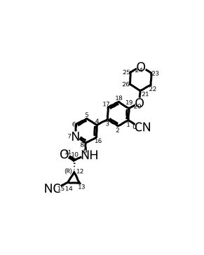 N#Cc1cc(-c2ccnc(NC(=O)[C@@H]3CC3C#N)c2)ccc1OC1CCOCC1